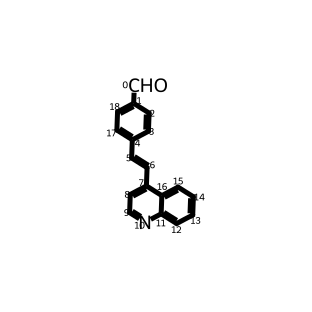 O=Cc1ccc(/C=C/c2ccnc3ccccc23)cc1